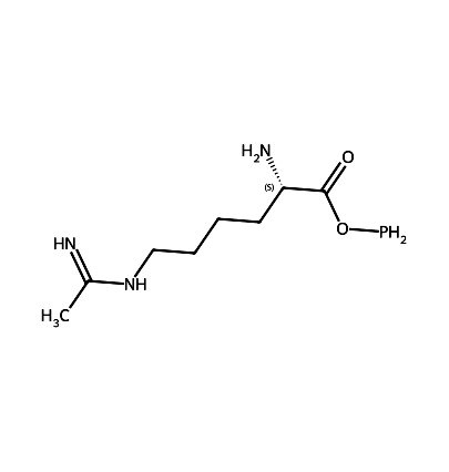 CC(=N)NCCCC[C@H](N)C(=O)OP